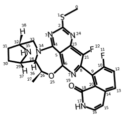 CSc1nc2c3c(nc(-c4c(F)ccc5cc[nH]c(=O)c45)c(F)c3n1)O[C@@H](C)[C@@H]1[C@@H]3CC[C@H](CN21)N3